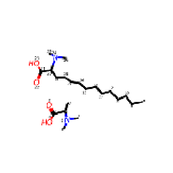 CC(C(=O)O)N(C)C.CCCCCCCCCCCCC(C(=O)O)N(C)C